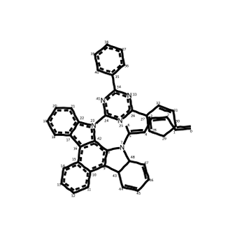 C=C/C=C\C=C(/C)N1c2c(c3ccccc3c3c4ccccc4n(-c4nc(C5=CCCC=C5)nc(-c5ccccc5)n4)c23)C2C=CC=CC21